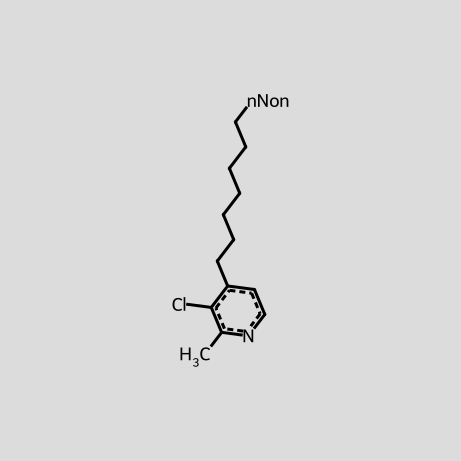 CCCCCCCCCCCCCCCCc1ccnc(C)c1Cl